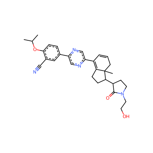 CC(C)Oc1ccc(-c2cnc(C3=C4CCC(C5CCN(CCO)C5=O)C4(C)CC=C3)cn2)cc1C#N